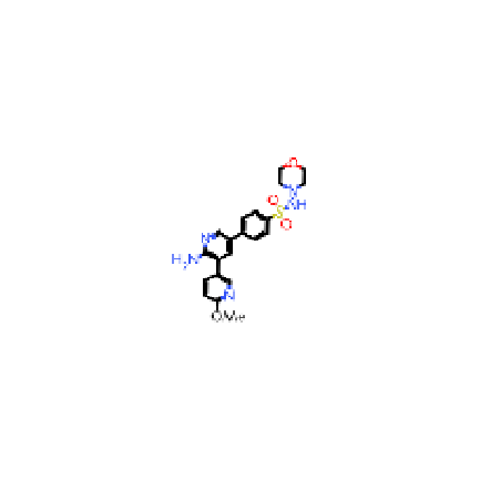 COc1ccc(-c2cc(-c3ccc(S(=O)(=O)NN4CCOCC4)cc3)cnc2N)cn1